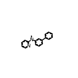 CN(c1cccc(-c2ccccc2)c1)c1ccccn1